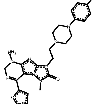 Cc1ccc(N2CCN(CCn3c(=O)n(C)n4c5c(nc34)N(N)CN=C5c3ccco3)CC2)cc1